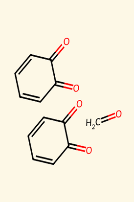 C=O.O=C1C=CC=CC1=O.O=C1C=CC=CC1=O